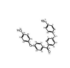 CC(C)(C)c1ccc(Sc2ccc(C(=O)c3ccc(Oc4ccc(O)cc4)cc3)cc2)cc1